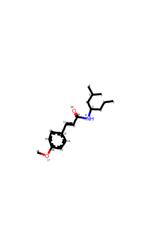 CCCC(CC(C)C)NC(=O)/C=C/c1ccc(OC)cc1